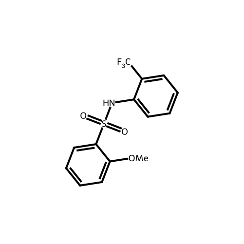 COc1ccccc1S(=O)(=O)Nc1ccccc1C(F)(F)F